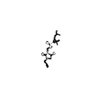 C#CCN1CC(=O)N(COC(=O)[C@@H]2C(C=C(C)C)C2(C)C)C1=O